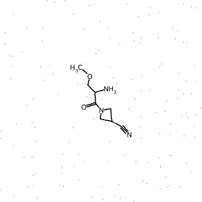 COCC(N)C(=O)N1CC(C#N)C1